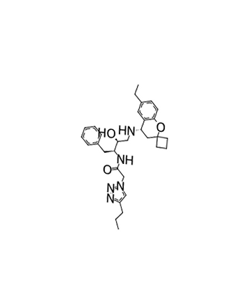 CCCc1cn(CC(=O)N[C@@H](Cc2ccccc2)[C@@H](O)CN[C@H]2CC3(CCC3)Oc3ccc(CC)cc32)nn1